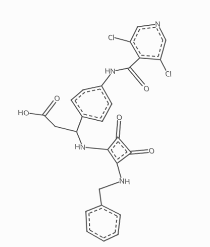 O=C(O)CC(Nc1c(NCc2ccccc2)c(=O)c1=O)c1ccc(NC(=O)c2c(Cl)cncc2Cl)cc1